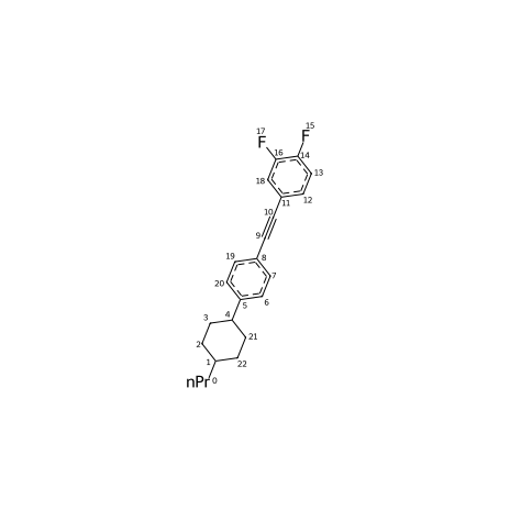 CCCC1CCC(c2ccc(C#Cc3ccc(F)c(F)c3)cc2)CC1